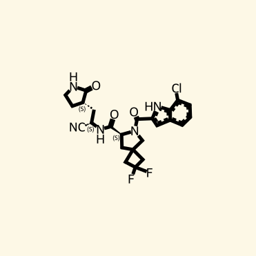 N#C[C@H](C[C@@H]1CCNC1=O)NC(=O)[C@@H]1CC2(CN1C(=O)c1cc3cccc(Cl)c3[nH]1)CC(F)(F)C2